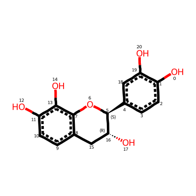 Oc1ccc([C@@H]2Oc3c(ccc(O)c3O)C[C@H]2O)cc1O